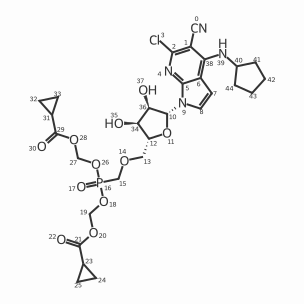 N#Cc1c(Cl)nc2c(ccn2[C@@H]2O[C@H](COCP(=O)(OCOC(=O)C3CC3)OCOC(=O)C3CC3)[C@@H](O)[C@H]2O)c1NC1CCCC1